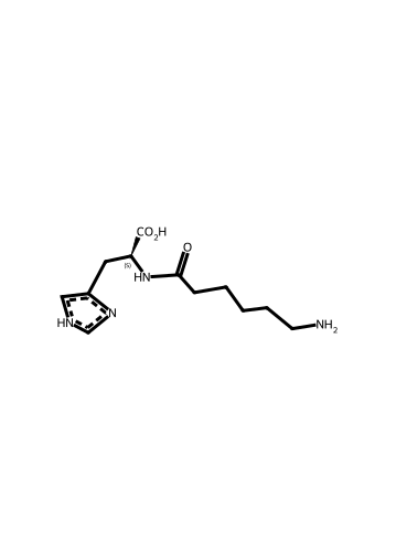 NCCCCCC(=O)N[C@@H](Cc1c[nH]cn1)C(=O)O